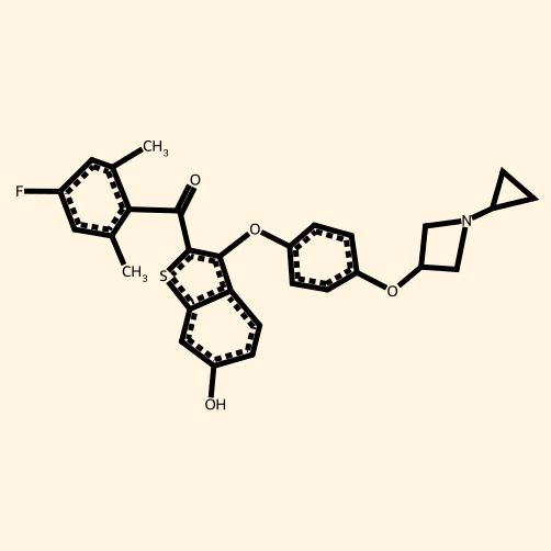 Cc1cc(F)cc(C)c1C(=O)c1sc2cc(O)ccc2c1Oc1ccc(OC2CN(C3CC3)C2)cc1